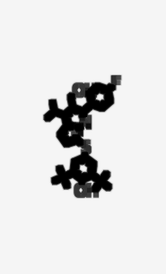 CC(C)c1c(CO)c(-c2ccc(F)cc2)nn2c(Sc3cc(C(C)(C)C)c(O)c(C(C)(C)C)c3)ccc12